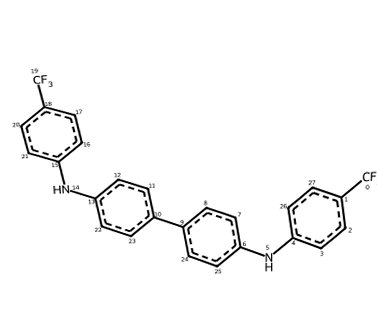 FC(F)(F)c1ccc(Nc2ccc(-c3ccc(Nc4ccc(C(F)(F)F)cc4)cc3)cc2)cc1